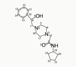 O=C(CN1CCN(CC(O)c2ccccc2)CC1)NC1CCCC1